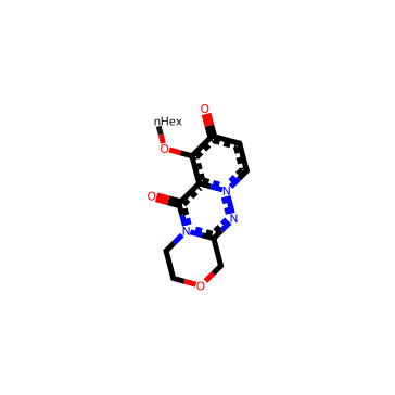 CCCCCCOc1c(=O)ccn2nc3n(c(=O)c12)CCOC3